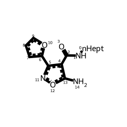 CCCCCCCNC(=O)c1c(-c2ccco2)noc1N